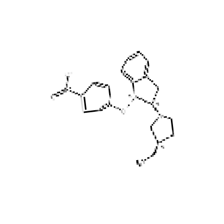 NC[C@@H]1CCN([C@@H]2Cc3ccccc3[C@H]2Oc2ccc([N+](=O)[O-])cc2)C1